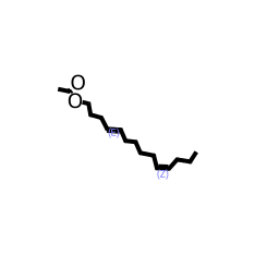 CCC/C=C\CCCC/C=C/CCCOC(C)=O